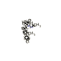 C=N/C=C\C=C(/C)C1(CCC(=O)N2CCN(c3ccc(Cl)c(F)c3)[C@@H](C)C2)NC(=O)NC1=O